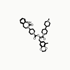 Cc1cc(C[C@@H](OC(=O)N2CCC(N3CCc4ccccc4NC3=O)CC2)C(=O)N2CCC(C3CCN(C)CC3)CC2)cc2c1OCCO2